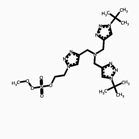 COOS(=O)(=O)OCCn1cc(CN(Cc2cn(C(C)(C)C)nn2)Cc2cn(C(C)(C)C)nn2)nn1